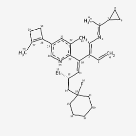 C=CC(=C\N=C(/C)C1CC1)/C(=C/[C@@H](CC)CC1(F)CCCCC1)c1ncc(C2=C(C)CC2)cc1C